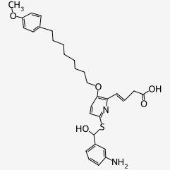 COc1ccc(CCCCCCCCOc2ccc(SC(O)c3cccc(N)c3)nc2C=CCC(=O)O)cc1